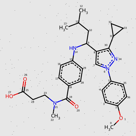 COc1ccc(-n2cc(C(CC(C)C)Nc3ccc(C(=O)N(C)CCC(=O)O)cc3)c(C3CC3)n2)cc1